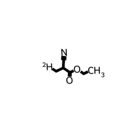 [2H]CC(C#N)C(=O)OCC